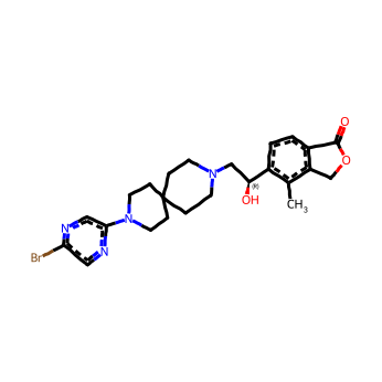 Cc1c([C@@H](O)CN2CCC3(CC2)CCN(c2cnc(Br)cn2)CC3)ccc2c1COC2=O